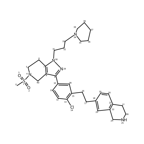 CS(=O)(=O)N1CCc2c(c(-c3ccc(Cl)c(CCc4ccc5c(c4)CNCC5)c3)nn2CCCN2CCCCC2)C1